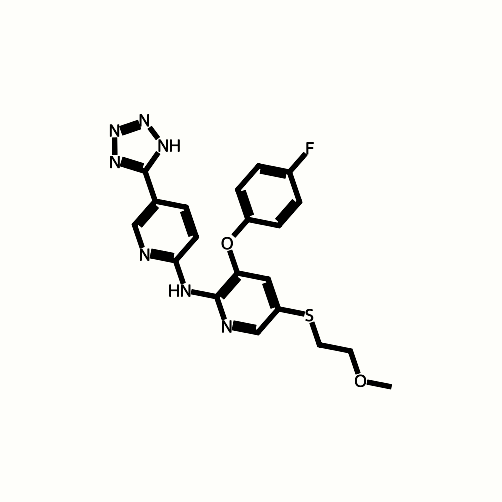 COCCSc1cnc(Nc2ccc(-c3nnn[nH]3)cn2)c(Oc2ccc(F)cc2)c1